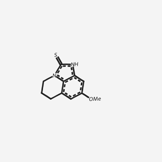 COc1cc2c3c(c1)[nH]c(=S)n3CCC2